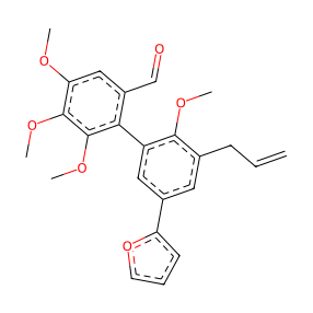 C=CCc1cc(-c2ccco2)cc(-c2c(C=O)cc(OC)c(OC)c2OC)c1OC